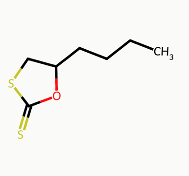 CCCCC1CSC(=S)O1